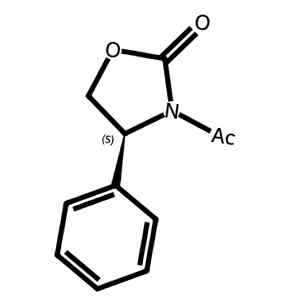 CC(=O)N1C(=O)OC[C@@H]1c1ccccc1